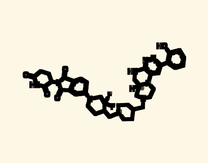 O=C1CCC(N2C(=O)c3ccc(N4CCC(CN5CCC(CN6CCN7c8cc(-c9ccccc9O)nnc8NC[C@H]7C6)CC5)C(F)(F)C4)cc3C2=O)C(=O)N1